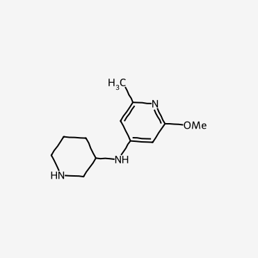 COc1cc(NC2CCCNC2)cc(C)n1